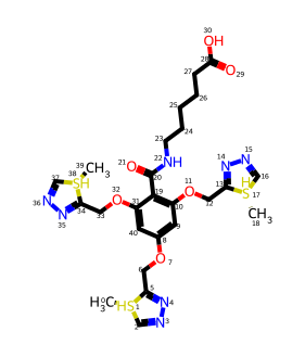 C[SH]1C=NN=C1COc1cc(OCC2=NN=C[SH]2C)c(C(=O)NCCCCCC(=O)O)c(OCC2=NN=C[SH]2C)c1